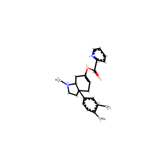 COc1ccc(C23CC=C(OC(=O)c4ccccn4)CC2N(C)CC3)cc1C